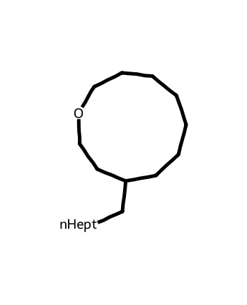 CCCCCCCCC1CCCCCCCOCC1